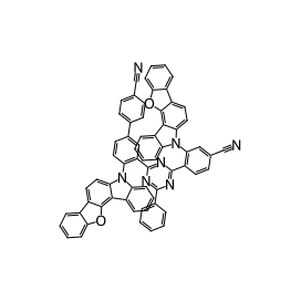 N#Cc1ccc(-c2ccc(-n3c4ccccc4c4c5oc6ccccc6c5ccc43)c(-c3nc(-c4ccccc4)nc(-c4ccc(C#N)cc4-n4c5ccccc5c5c6oc7ccccc7c6ccc54)n3)c2)cc1